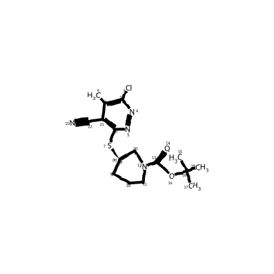 Cc1c(Cl)nnc(S[C@@H]2CCCN(C(=O)OC(C)(C)C)C2)c1C#N